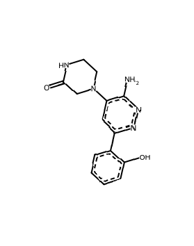 Nc1nnc(-c2ccccc2O)cc1N1CCNC(=O)C1